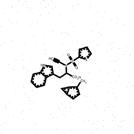 C#CN(C(Cc1c[nH]c2ccccc12)C(=O)O)S(=O)(=O)c1cccs1.Cc1ccc2cc1-2